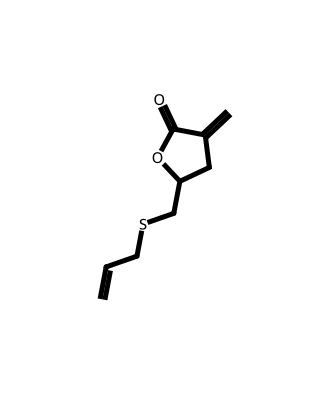 C=CCSCC1CC(=C)C(=O)O1